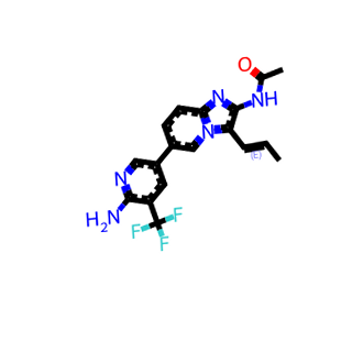 C/C=C/c1c(NC(C)=O)nc2ccc(-c3cnc(N)c(C(F)(F)F)c3)cn12